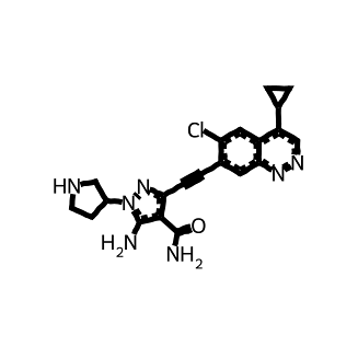 NC(=O)c1c(C#Cc2cc3nncc(C4CC4)c3cc2Cl)nn(C2CCNC2)c1N